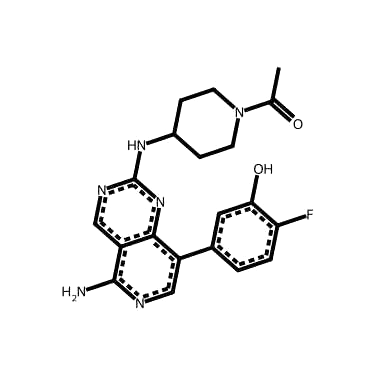 CC(=O)N1CCC(Nc2ncc3c(N)ncc(-c4ccc(F)c(O)c4)c3n2)CC1